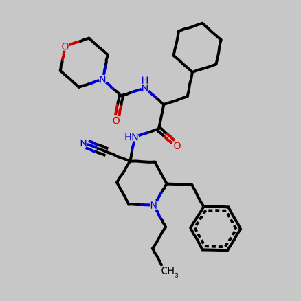 CCCN1CCC(C#N)(NC(=O)C(CC2CCCCC2)NC(=O)N2CCOCC2)CC1Cc1ccccc1